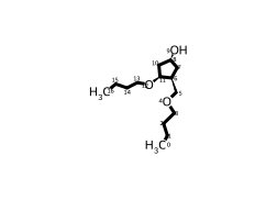 CCCCOC[C@@H]1C[C@@H](O)C[C@@H]1OCCCC